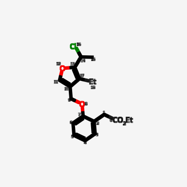 CCOC(=O)Cc1ccccc1OCc1coc(C(C)Cl)c1CC